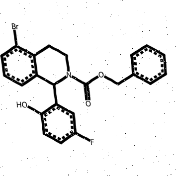 O=C(OCc1ccccc1)N1CCc2c(Br)cccc2C1c1cc(F)ccc1O